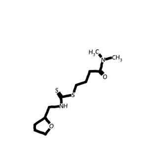 CN(C)C(=O)CCCSC(=S)NCC1CCCO1